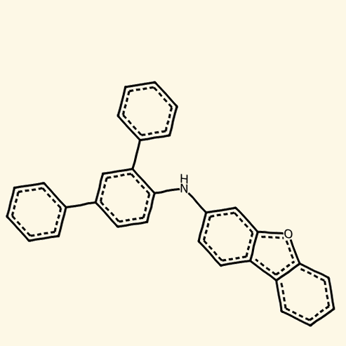 c1ccc(-c2ccc(Nc3ccc4c(c3)oc3ccccc34)c(-c3ccccc3)c2)cc1